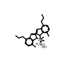 CCCc1ccc(C)c2c1C=C(C)[CH]2[Zr]([CH3])([CH3])(=[SiH2])[CH]1C(C)=Cc2c(CCC)ccc(C)c21.Cl.Cl